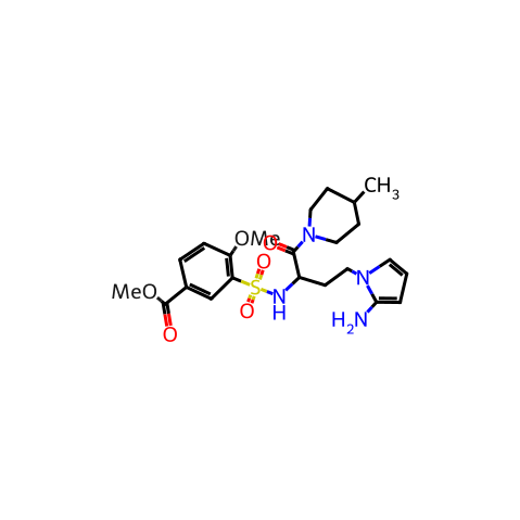 COC(=O)c1ccc(OC)c(S(=O)(=O)NC(CCn2cccc2N)C(=O)N2CCC(C)CC2)c1